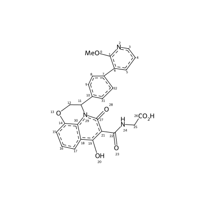 COc1ncccc1-c1ccc(C2COc3cccc4c(O)c(C(=O)NCC(=O)O)c(=O)n2c34)cc1